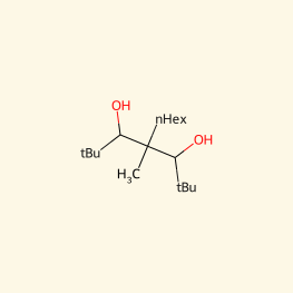 CCCCCCC(C)(C(O)C(C)(C)C)C(O)C(C)(C)C